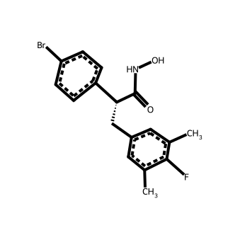 Cc1cc(C[C@@H](C(=O)NO)c2ccc(Br)cc2)cc(C)c1F